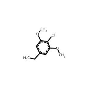 [CH2]Cc1cc(OC)c(Cl)c(OC)c1